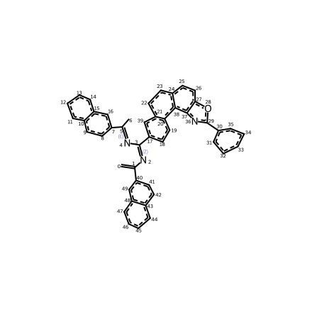 C=C(/N=C(\N=C(/C)c1ccc2ccccc2c1)c1ccc2c(ccc3ccc4oc(-c5ccccc5)nc4c32)c1)c1ccc2ccccc2c1